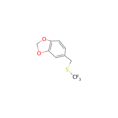 FC(F)(F)SCc1ccc2c(c1)OCO2